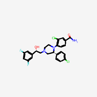 NC(=O)c1ccc(N2CCN(C[C@@H](O)c3cc(F)cc(F)c3)C[C@H]2c2ccc(Cl)cc2)c(Cl)c1